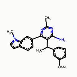 COc1cccc(C(C)c2c(N)nc(C)nc2-c2ccc3ccn(C)c3c2)c1